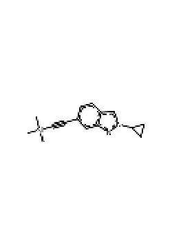 C[Si](C)(C)C#Cc1ccc2cn(C3CC3)nc2c1